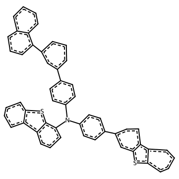 c1cc(-c2ccc(N(c3ccc(-c4ccc5c(c4)sc4ccccc45)cc3)c3cccc4c3sc3ccccc34)cc2)cc(-c2cccc3ccccc23)c1